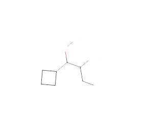 [CH2]CC(C)C(OC)C1CCC1